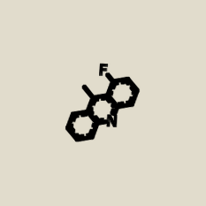 Cc1c2ccccc2nc2cccc(F)c12